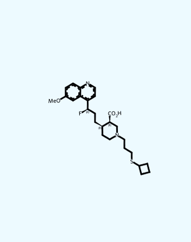 COc1ccc2nccc([C@H](F)CC[C@@H]3CCN(CCCSC4CCC4)C[C@@H]3C(=O)O)c2c1